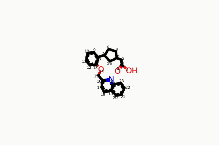 O=C(O)CC1CCC(c2ccccc2OCc2ccc3ccccc3n2)C1